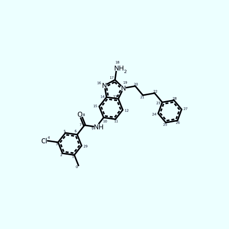 Cc1cc(Cl)cc(C(=O)Nc2ccc3c(c2)nc(N)n3CCCc2ccccc2)c1